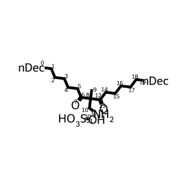 CCCCCCCCCCCCCCCC(=O)C(C)(CN)C(=O)CCCCCCCCCCCCCCC.O=S(=O)(O)O